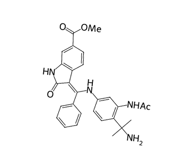 COC(=O)c1ccc2c(c1)NC(=O)C2=C(Nc1ccc(C(C)(C)N)c(NC(C)=O)c1)c1ccccc1